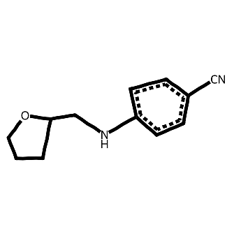 N#Cc1ccc(NCC2CCCO2)cc1